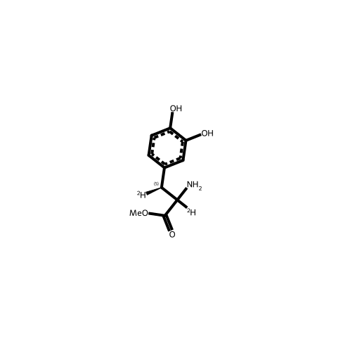 [2H][C@@H](c1ccc(O)c(O)c1)C([2H])(N)C(=O)OC